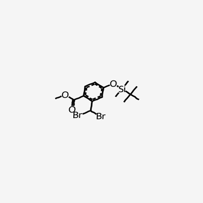 COC(=O)c1ccc(O[Si](C)(C)C(C)(C)C)cc1C(Br)Br